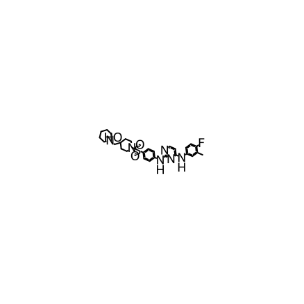 Cc1cc(Nc2ccnc(Nc3ccc(S(=O)(=O)N4CCC(O)(CN5CCCCC5)CC4)cc3)n2)ccc1F